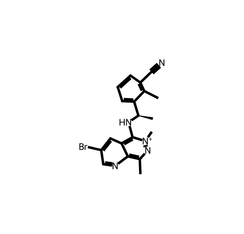 Cc1c(C#N)cccc1[C@@H](C)Nc1c2cc(Br)cnc2c(C)n[n+]1C